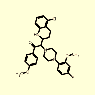 COc1ccc(C(=O)C(C2CCc3c(Cl)cccc3N2)N2CCN(c3ccc(F)cc3OC)CC2)cc1